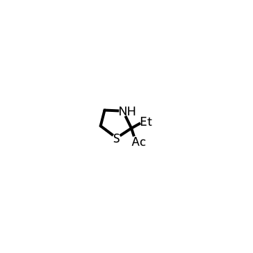 CCC1(C(C)=O)NCCS1